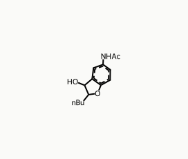 CCCCC1Oc2ccc(NC(C)=O)cc2C1O